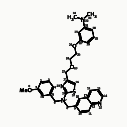 COc1cccc(CN(Cc2ccc3ncccc3c2)c2nc(COCCOc3cccc(N(C)C)c3)cs2)c1